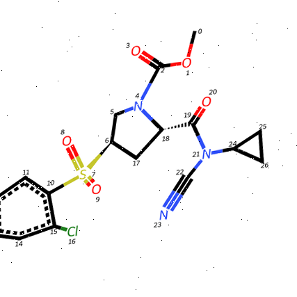 COC(=O)N1C[C@H](S(=O)(=O)c2ccccc2Cl)C[C@H]1C(=O)N(C#N)C1CC1